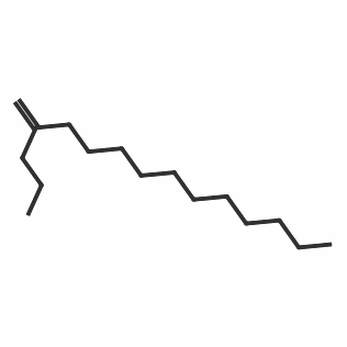 C=C(CCC)CCCCCCCCCCC